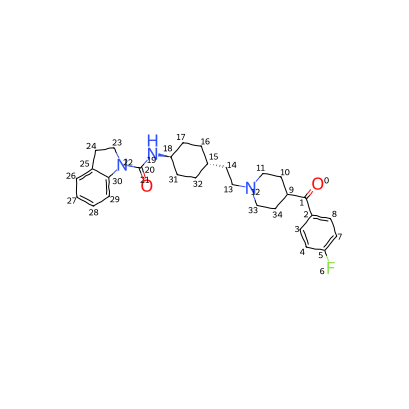 O=C(c1ccc(F)cc1)C1CCN(CC[C@H]2CC[C@H](NC(=O)N3CCc4ccccc43)CC2)CC1